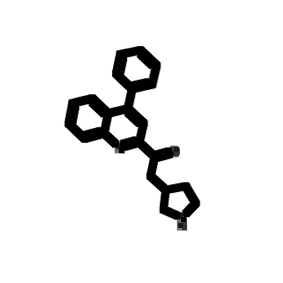 O=C(CC1CCNC1)c1cc(-c2ccccc2)c2ccccc2n1